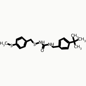 CSc1ccc(CSNC(=O)NCc2ccc(C(C)(C)C)cc2)cc1